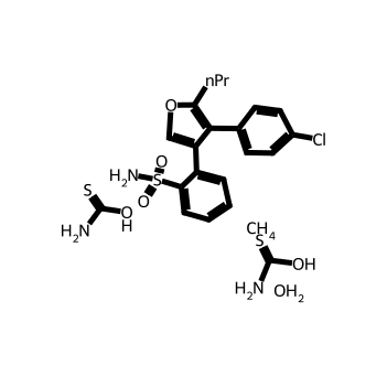 C.CCCc1occ(-c2ccccc2S(N)(=O)=O)c1-c1ccc(Cl)cc1.NC(O)=S.NC(O)=S.O